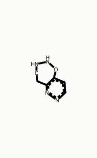 c1cc2c(nn1)CCNNO2